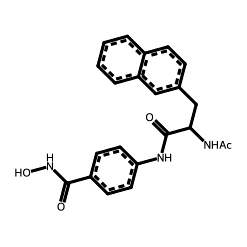 CC(=O)NC(Cc1ccc2ccccc2c1)C(=O)Nc1ccc(C(=O)NO)cc1